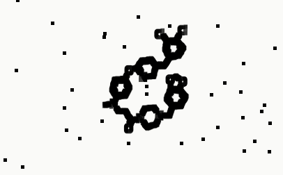 CN(CCC(=O)N1CCN(Cc2ccc3c(c2)OCO3)CC1)c1ccc(OC2=NCC(=Cc3ccc(Cl)c(Cl)c3)C=C2)cc1